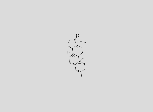 CC[C@]12CCC3[C@@H](CC=C4C=C(C)CC[C@@]43C)C1CCC2=O